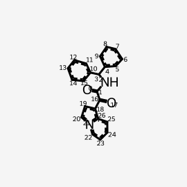 O=C(NC(c1ccccc1)c1ccccc1)C(=O)c1ccn2ccccc12